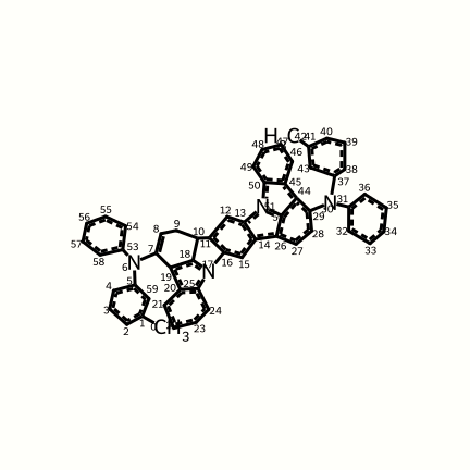 Cc1cccc(N(C2=CCC3c4cc5c(cc4-n4c3c2c2ccccc24)c2ccc(N(c3ccccc3)c3cccc(C)c3)c3c4ccccc4n5c23)c2ccccc2)c1